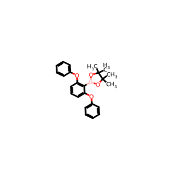 CC1(C)OB(c2c(Oc3ccccc3)cccc2Oc2ccccc2)OC1(C)C